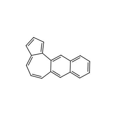 c1cc2cccc3cc4ccccc4cc3c-2c1